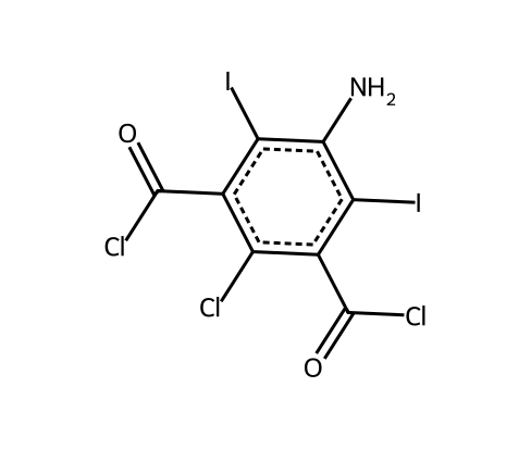 Nc1c(I)c(C(=O)Cl)c(Cl)c(C(=O)Cl)c1I